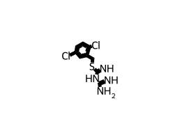 N=C(N)NC(=N)SCc1cc(Cl)ccc1Cl